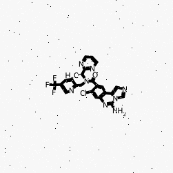 C[C@H](c1ncccn1)N(Cc1ccc(C(F)(F)F)cn1)C(=O)c1cc2c(cc1Cl)nc(N)n1cncc21